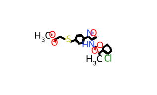 COC(=O)CCSCc1ccc(-c2nocc2NC(=O)OC(C)C2=C(Cl)CCCC2)cc1